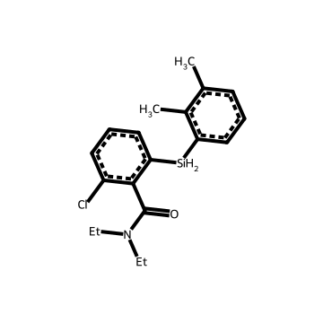 CCN(CC)C(=O)c1c(Cl)cccc1[SiH2]c1cccc(C)c1C